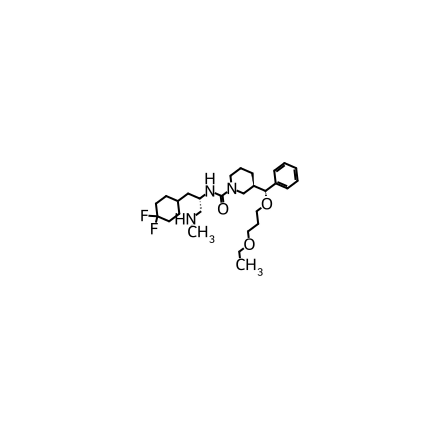 CCOCCCO[C@@H](c1ccccc1)[C@@H]1CCCN(C(=O)N[C@H](CNC)CC2CCC(F)(F)CC2)C1